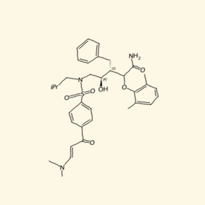 Cc1cccc(C)c1OC(C(N)=O)[C@@H](Cc1ccccc1)[C@@H](O)CN(CC(C)C)S(=O)(=O)c1ccc(C(=O)C=CN(C)C)cc1